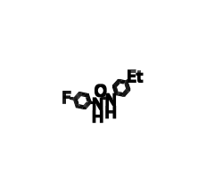 CCc1ccc(NC(=O)Nc2ccc(F)cc2)cc1